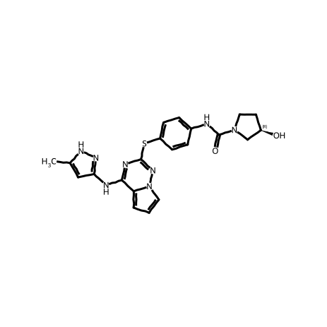 Cc1cc(Nc2nc(Sc3ccc(NC(=O)N4CC[C@@H](O)C4)cc3)nn3cccc23)n[nH]1